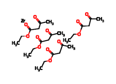 CCOC(=O)CC(C)=O.CCOC(=O)CC(C)=O.CCOC(=O)CC(C)=O.CCOC(=O)CC(C)=O.[Zr]